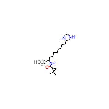 CN1CCNCC1CCCCCCCC=C(NC(=O)C1CC1(C)C)C(=O)O